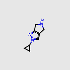 c1c2c(nn1C1CC1)CNC2